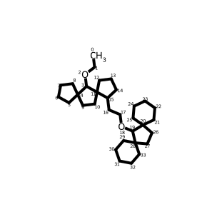 CCOC1C2(CCCC2)CCC12CCCC2CCOC1C2(CCCCC2)CCC12CCCCC2